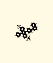 C[Si](C)(C)c1ccc2c(-c3ccc(-c4cccc5ccccc45)cc3)c3cc([Si](C)(C)C)ccc3c(-c3ccccc3)c2c1